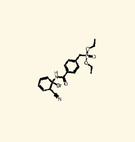 CCOP(=O)(Cc1ccc(C(=O)NC2(Br)C=CC=CC2C#N)cc1)OCC